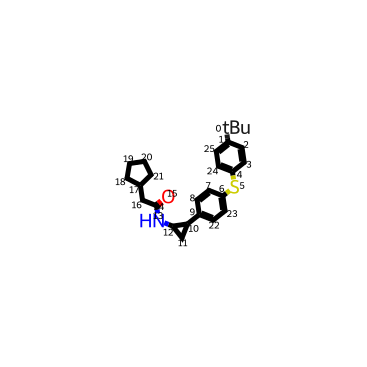 CC(C)(C)c1ccc(Sc2ccc(C3CC3NC(=O)CC3CCCC3)cc2)cc1